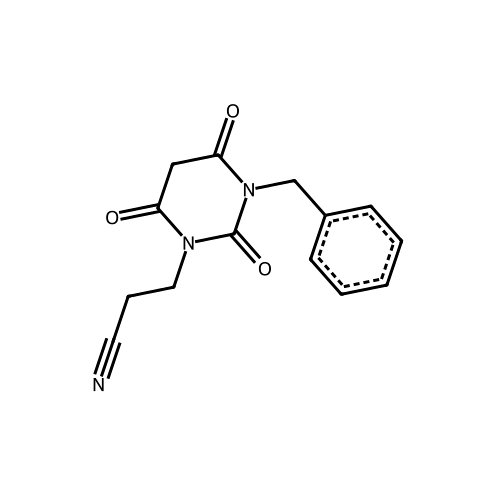 N#CCCN1C(=O)CC(=O)N(Cc2ccccc2)C1=O